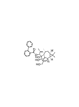 CC1=C[C@]23C(=O)[C@@H](C=C(CO)[C@@H](O)[C@]2(O)[C@H]1OC(=O)c1ccccc1-c1ccccc1)[C@H]1[C@@H](C[C@H]3C)C1(C)C